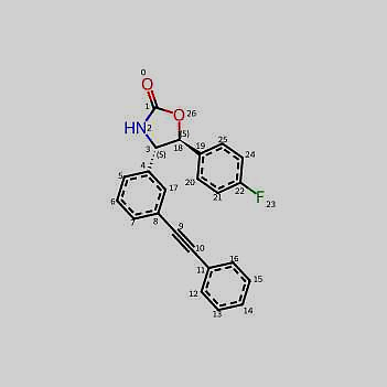 O=C1N[C@@H](c2cccc(C#Cc3ccccc3)c2)[C@H](c2ccc(F)cc2)O1